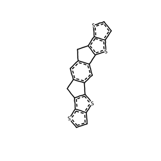 c1cc2sc3c(c2s1)Cc1cc2c(cc1-3)-c1sc3ccsc3c1C2